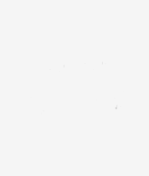 CCCC(=O)c1cc(Cc2cc(C(=O)CCC)cc(C(=O)CCC)c2)cc(C(=O)CCC)c1